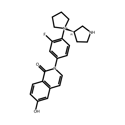 O=c1c2ccc(O)cc2ccn1-c1ccc([N+]2([C@@H]3CCNC3)CCCC2)c(F)c1